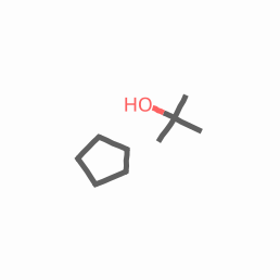 C1CCCC1.CC(C)(C)O